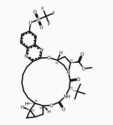 COC(=O)[C@@H]1C[C@@H]2CN1C(=O)[C@H](C(C)(C)C)NC(=O)O[C@@H]1CC3C[C@@H]3[C@H]1CCCCCc1nc3ccc(OS(=O)(=O)C(F)(F)F)cc3nc1O2